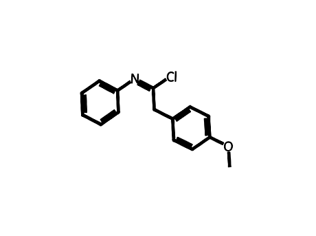 COc1ccc(C/C(Cl)=N\c2ccccc2)cc1